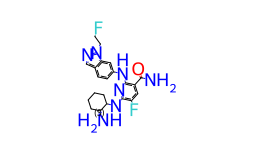 NC(=O)c1cc(F)c(NC2CCCC[C@@H]2N)nc1Nc1ccc2cnn(CCF)c2c1